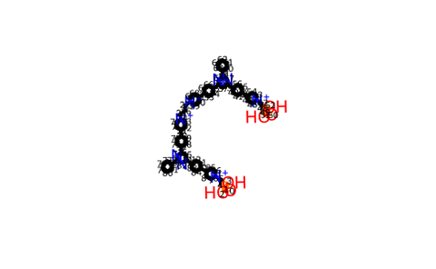 O=P(O)(O)CC[n+]1ccc(-c2ccc(-c3cc(-c4ccc(-c5cc[n+](CCC[n+]6ccc(-c7ccc(-c8cc(-c9ccc(-c%10cc[n+](CCP(=O)(O)O)cc%10)cc9)nc(-c9ccccc9)n8)cc7)cc6)cc5)cc4)nc(-c4ccccc4)n3)cc2)cc1